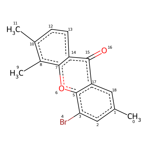 Cc1cc(Br)c2oc3c(C)c(C)ccc3c(=O)c2c1